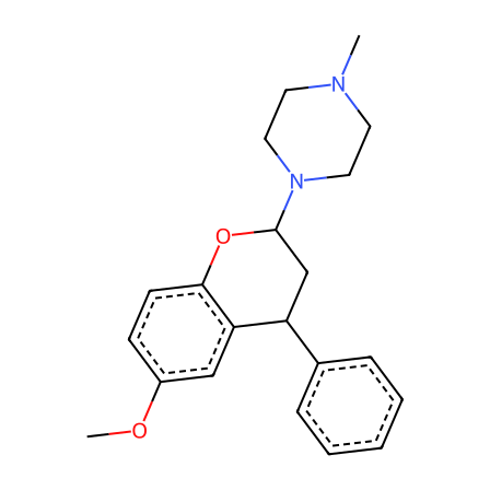 COc1ccc2c(c1)C(c1ccccc1)CC(N1CCN(C)CC1)O2